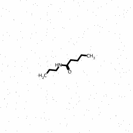 [CH2]CCNC(=O)CCCC